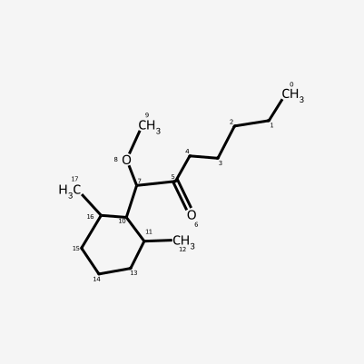 CCCCCC(=O)C(OC)C1C(C)CCCC1C